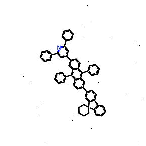 c1ccc(-c2cc(-c3ccc4c(-c5ccccc5)c5cc(-c6ccc7c(c6)C6(CCCCC6)c6ccccc6-7)ccc5c(-c5ccccc5)c4c3)cc(-c3ccccc3)n2)cc1